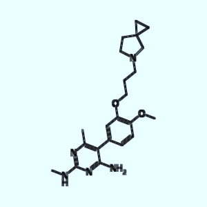 CNc1nc(C)c(-c2ccc(OC)c(OCCCN3CCC4(CC4)C3)c2)c(N)n1